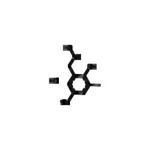 Cc1cc(C(C)(C)C)cc(CNO)c1O.Cl